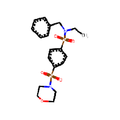 CCN(Cc1ccccc1)S(=O)(=O)c1ccc(S(=O)(=O)N2CCOCC2)cc1